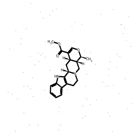 COC(=O)C1=CO[C@@H](C)[C@@H]2CN3CCc4c([nH]c5ccccc45)[C@@H]3C[C@H]12